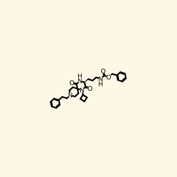 O=C(NCCC[C@@H]1NC(=O)C2(CCN(CCc3ccccc3)CC2)N(C2CCC2)C1=O)OCc1ccccc1